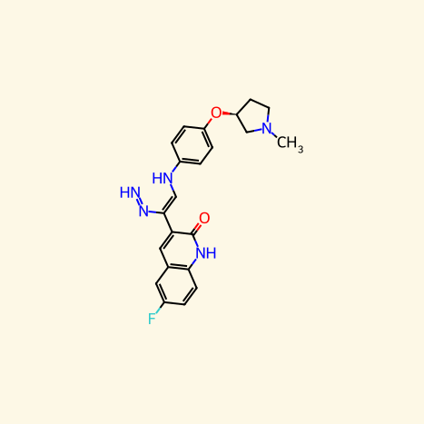 CN1CC[C@H](Oc2ccc(N/C=C(\N=N)c3cc4cc(F)ccc4[nH]c3=O)cc2)C1